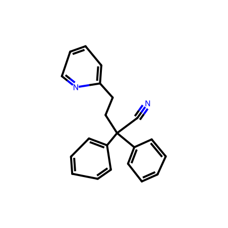 N#CC(CCc1ccccn1)(c1ccccc1)c1ccccc1